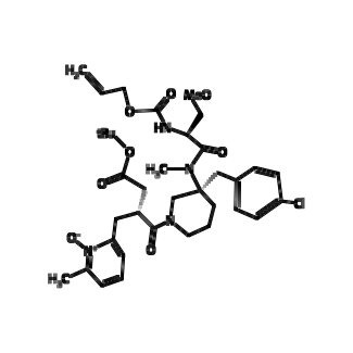 C=CCOC(=O)N[C@@H](COC)C(=O)N(C)[C@@]1(Cc2ccc(Cl)cc2)CCCN(C(=O)[C@@H](CC(=O)OC(C)(C)C)Cc2cccc(C)[n+]2[O-])C1